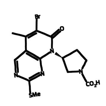 CSc1ncc2c(C)c(Br)c(=O)n([C@@H]3CCN(C(=O)O)C3)c2n1